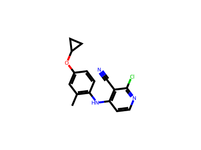 Cc1cc(OC2CC2)ccc1Nc1ccnc(Cl)c1C#N